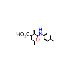 C=C/C=C(\C(=C)C(=O)NC(=C)/C=C\C(=C)C)C(=O)O